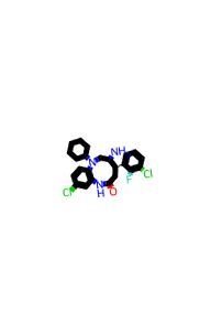 NC1CN(C2CCCCC2)c2ccc(Cl)cc2NC(=O)C[C@H]1c1cccc(Cl)c1F